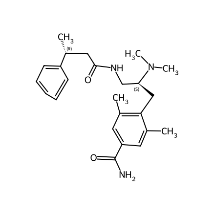 Cc1cc(C(N)=O)cc(C)c1C[C@@H](CNC(=O)C[C@@H](C)c1ccccc1)N(C)C